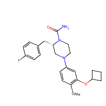 COc1ccc(N2CCN(C(N)=O)[C@@H](Cc3ccc(F)cc3)C2)cc1OC1CCC1